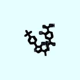 C/C(=N/NC(=O)c1ccc(C(=O)O)c(Cl)c1)c1csc(-c2ccc(C(C)(C)C)cc2)c1O